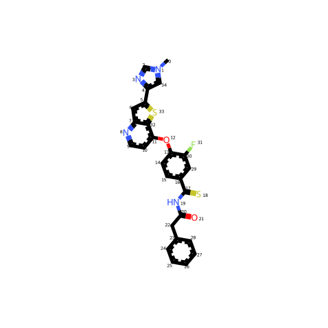 Cn1cnc(-c2cc3nccc(Oc4ccc(C(=S)NC(=O)Cc5ccccc5)cc4F)c3s2)c1